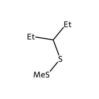 CCC(CC)SSC